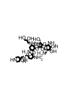 NC[C@@H]1O[C@H](O[C@H]2[C@@H](O)[C@H](O[C@@H]3[C@@H](O)[C@H](NCC(O)CO)C[C@H](N)[C@H]3O[C@H]3O[C@H](CNCC4(O)CCNCC4)CC[C@H]3N)O[C@@H]2CO)[C@H](N)[C@@H](O)[C@@H]1O